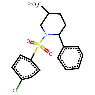 CCOC(=O)C1CCC(c2ccccc2)N(S(=O)(=O)c2ccc(Cl)cc2)C1